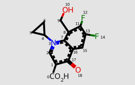 O=C(O)c1cn(C2CC2)c2c(CO)c(F)c(F)cc2c1=O